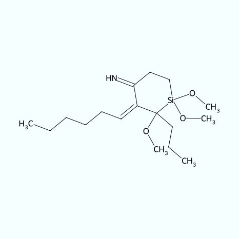 CCCCCC=C1C(=N)CC[Si](OC)(OC)C1(CCC)OC